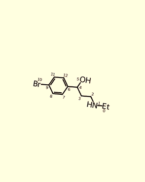 CCNCCC(O)c1ccc(Br)cc1